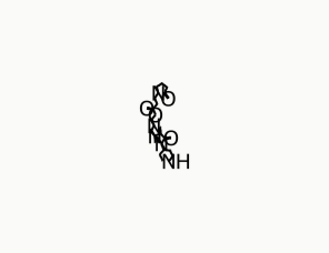 O=C(CCN1CCCC1=O)OCN1C=C2C(=O)N(C3CCNCC3)CN2C1